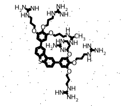 CC(=N)NCCCOc1cc(-c2ccc3sc4ccc(-c5cc(OCCCNC(=N)N)c(OCCCNC(=N)N)c(OCCCNC(=N)N)c5)cc4c3c2)cc(OCCCNC(=N)N)c1OCCCNC(=N)N